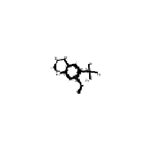 CCc1cc2c(cc1C(C)(C)C)CCCO2